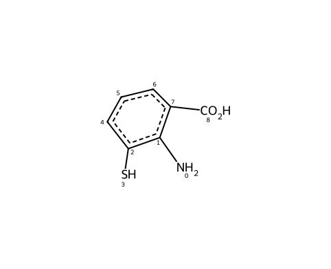 Nc1c(S)cccc1C(=O)O